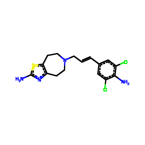 Nc1nc2c(s1)CCN(CC=Cc1cc(Cl)c(N)c(Cl)c1)CC2